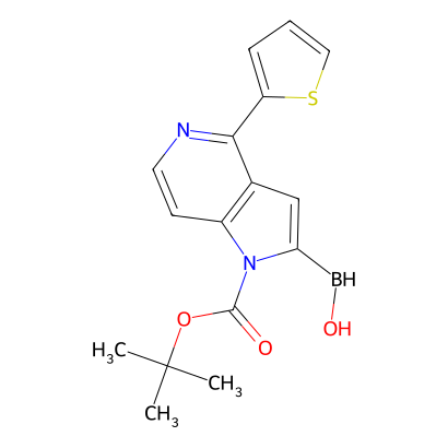 CC(C)(C)OC(=O)n1c(BO)cc2c(-c3cccs3)nccc21